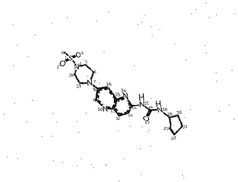 CS(=O)(=O)N1CCN(c2cnc3ccc(NC(=O)NC4CCCC4)nc3c2)CC1